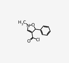 CN1C=C(C(=O)Cl)C(c2ccccc2)O1